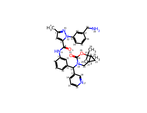 Cc1cc(C(=O)Nc2cccc(C(c3cccnc3)N(CC3CC3)C(=O)OC(C)(C)C)c2)n(-c2cccc(CN)c2)n1